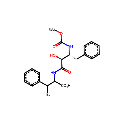 CCC(c1ccccc1)C(NC(=O)[C@@H](O)[C@@H](Cc1ccccc1)NC(=O)OC(C)(C)C)C(=O)O